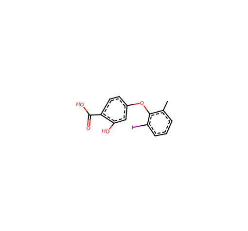 Cc1cccc(I)c1Oc1ccc(C(=O)O)c(O)c1